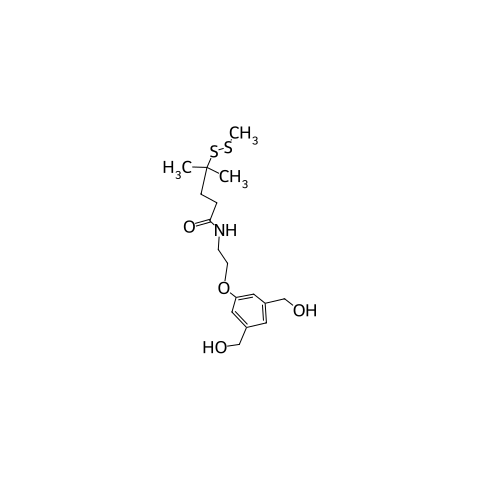 CSSC(C)(C)CCC(=O)NCCOc1cc(CO)cc(CO)c1